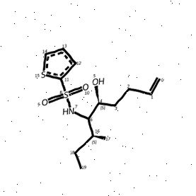 C=CCC[C@H](O)C(NS(=O)(=O)c1cccs1)[C@@H](C)CC